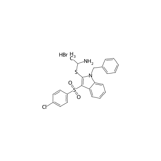 Br.CC(N)Sc1c(S(=O)(=O)c2ccc(Cl)cc2)c2ccccc2n1Cc1ccccc1